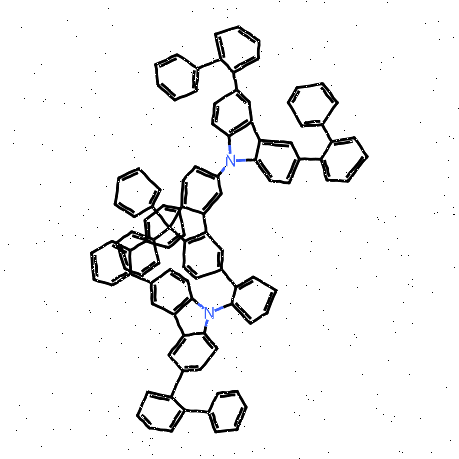 c1ccc(-c2ccccc2-c2ccc3c(c2)c2cc(-c4ccccc4-c4ccccc4)ccc2n3-c2ccc3c(c2)-c2cc(-c4ccccc4-n4c5ccc(-c6ccccc6-c6ccccc6)cc5c5cc(-c6ccccc6-c6ccccc6)ccc54)ccc2C3(c2ccccc2)c2ccccc2)cc1